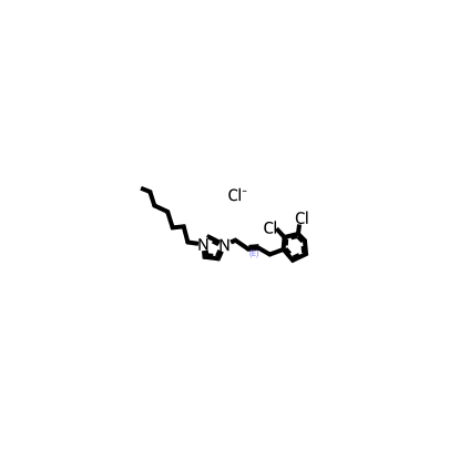 CCCCCCCn1cc[n+](C/C=C/Cc2cccc(Cl)c2Cl)c1.[Cl-]